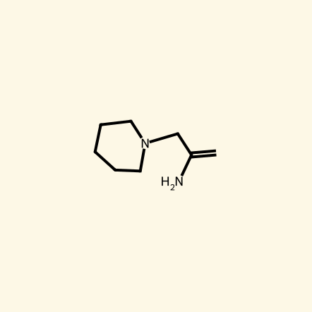 C=C(N)CN1CCCCC1